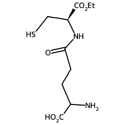 CCOC(=O)[C@H](CS)NC(=O)CCC(N)C(=O)O